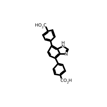 O=C(O)c1ccc(-c2ccc(-c3ccc(C(=O)O)cc3)c3[nH]cnc23)cc1